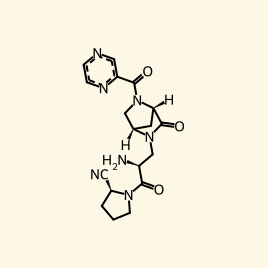 N#C[C@@H]1CCCN1C(=O)[C@@H](N)CN1C(=O)[C@@H]2C[C@H]1CN2C(=O)c1cnccn1